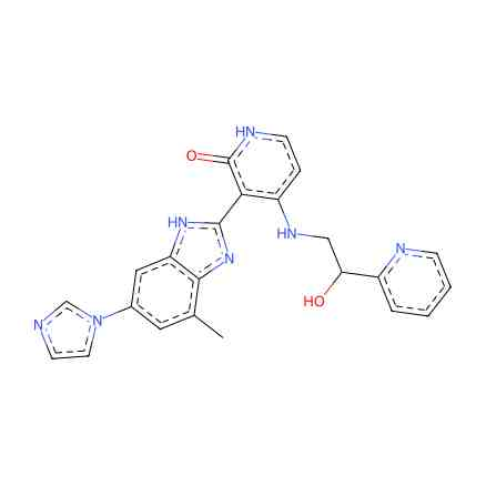 Cc1cc(-n2ccnc2)cc2[nH]c(-c3c(NCC(O)c4ccccn4)cc[nH]c3=O)nc12